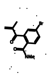 C=C(C)C(=O)c1cc(Br)ccc1C(=O)NC